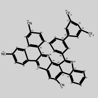 N#Cc1ccc(-c2nc3cc(C#N)c4c5ccccc5nc(-c5cccc(-c6cc(C(F)(F)F)cc(C(F)(F)F)c6)c5)c4c3nc2-c2ccc(C#N)cc2)cc1